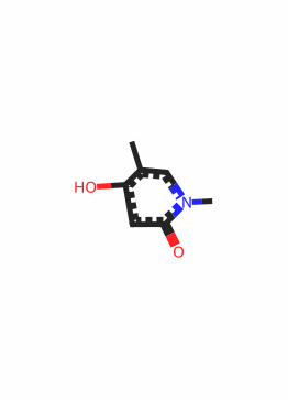 Cc1cn(C)c(=O)cc1O